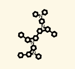 c1ccc(-c2ccc3c(c2)c2cc(-c4ccc5c(c4)c4cc(-c6ccccc6)ccc4n5-c4ccc5c(c4)c4cc(-c6ccccc6)ccc4n5-c4ccccc4)ccc2n3-c2ccc(N(c3ccccc3)c3ccccc3)cc2)cc1